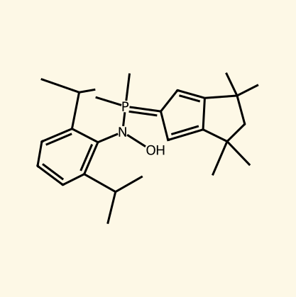 CC(C)c1cccc(C(C)C)c1N(O)P(C)(C)=C1C=C2C(=C1)C(C)(C)CC2(C)C